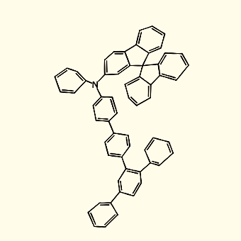 c1ccc(-c2ccc(-c3ccccc3)c(-c3ccc(-c4ccc(N(c5ccccc5)c5ccc6c(c5)C5(c7ccccc7-c7ccccc75)c5ccccc5-6)cc4)cc3)c2)cc1